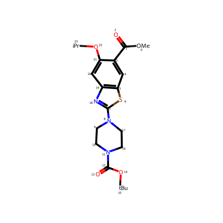 COC(=O)c1cc2sc(N3CCN(C(=O)OC(C)(C)C)CC3)nc2cc1OC(C)C